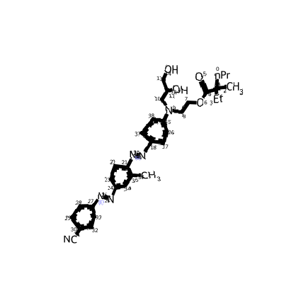 CCCC(C)(CC)C(=O)OCCN(CC(O)CO)c1ccc(/N=N/c2ccc(/N=N/c3ccc(C#N)cc3)cc2C)cc1